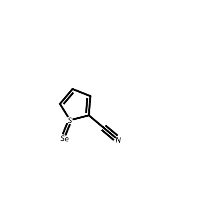 N#CC1=CC=CS1=[Se]